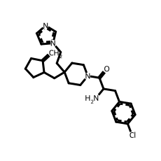 C=C1CCCC1CC1(CCn2ccnc2)CCN(C(=O)C(N)Cc2ccc(Cl)cc2)CC1